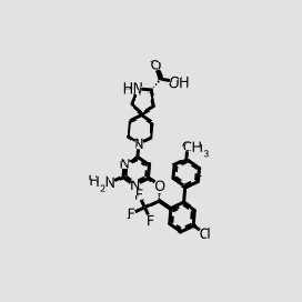 Cc1ccc(-c2cc(Cl)ccc2[C@@H](Oc2cc(N3CCC4(CC3)CN[C@H](C(=O)O)C4)nc(N)n2)C(F)(F)F)cc1